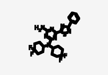 Nc1nc(-c2nc(-c3ccccc3)ns2)nc(N(C2CCC(F)(F)CC2)C2CCC(F)(F)CC2)n1